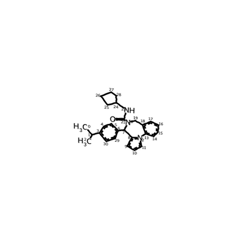 CC(C)c1ccc(C2c3cccn3-c3ccccc3CN2C(=O)NC2CCCC2)cc1